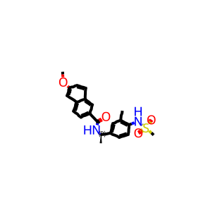 COc1ccc2cc(C(=O)N[C@H](C)c3ccc(NS(C)(=O)=O)c(C)c3)ccc2c1